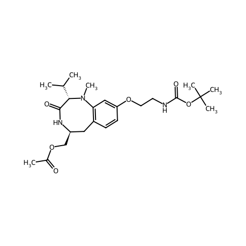 CC(=O)OC[C@@H]1Cc2ccc(OCCNC(=O)OC(C)(C)C)cc2N(C)[C@@H](C(C)C)C(=O)N1